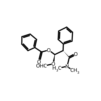 CN(C)C(=O)[C@@H](c1ccccc1)[C@@H](OC=O)OC(=O)c1ccccc1